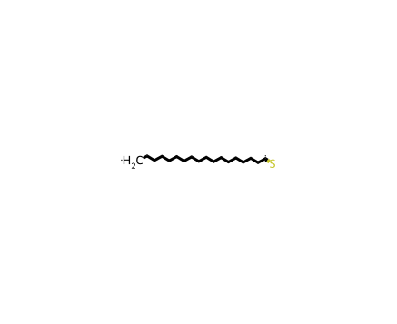 [CH2]CCCCCCCCCCCCCCCC[C]=S